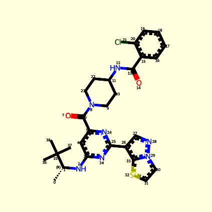 C[C@@H](Nc1cc(C(=O)N2CCC(NC(=O)c3ccccc3Cl)CC2)nc(-c2cnn3ccsc23)n1)C(C)(C)C